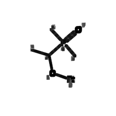 CCOC(C)P(C)(C)=O